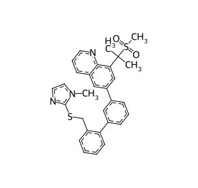 Cn1ccnc1SCc1ccccc1-c1cccc(-c2cc(C(C)(C)S(C)(=O)=O)c3ncccc3c2)c1